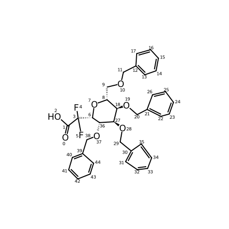 O=C(O)C(F)(F)[C@@H]1O[C@H](COCc2ccccc2)[C@@H](OCc2ccccc2)[C@@H](OCc2ccccc2)[C@@H]1OCc1ccccc1